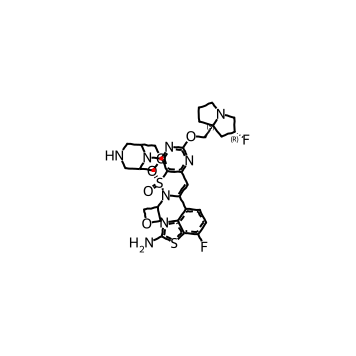 Nc1nc2c(C3=Cc4nc(OC[C@@]56CCCN5C[C@H](F)C6)nc(N5C6CNCC5COC6)c4S(=O)(=O)N3C3COC3)ccc(F)c2s1